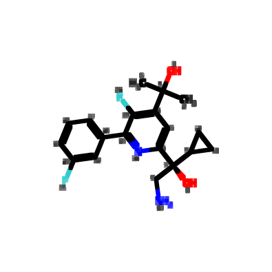 CC(C)(O)c1cc([C@@](O)(CN)C2CC2)nc(-c2cccc(F)c2)c1F